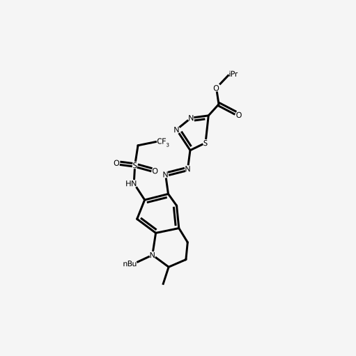 CCCCN1c2cc(NS(=O)(=O)CC(F)(F)F)c(N=Nc3nnc(C(=O)OC(C)C)s3)cc2CCC1C